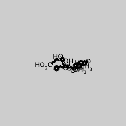 CC12CCC(=O)C=C1CC[C@@H]1C2=CCC2(C)[C@H]1CC[C@]2(O)C(=O)COC(=O)OC(/C=C/[C@H]1[C@H](C/C=C\CCCC(=O)O)[C@H](O)C[C@@H]1O)CCc1ccccc1